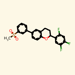 CS(=O)(=O)c1cccc(-c2ccc3c(c2)CCC(c2cc(F)c(F)cc2F)O3)c1